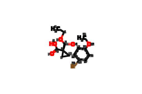 CCOC(=O)[C@]1(C(=O)O)C[C@H]1c1cc(OC)ccc1Br